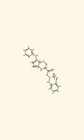 N[C@@H](CC(=O)N1CCn2c(Cc3ccccc3)nnc2C1)Cc1ccccc1F